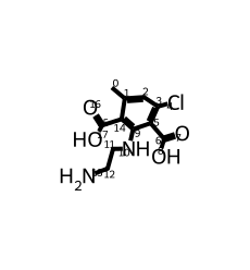 Cc1cc(Cl)c(C(=O)O)c(NCCN)c1C(=O)O